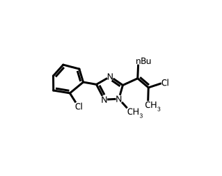 CCCC/C(=C(/C)Cl)c1nc(-c2ccccc2Cl)nn1C